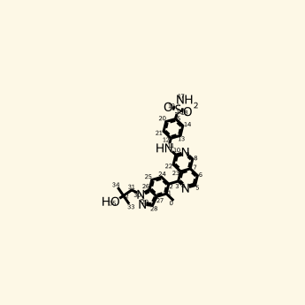 Cc1c(-c2nccc3cnc(Nc4ccc(S(N)(=O)=O)cc4)cc23)ccc2c1cnn2CC(C)(C)O